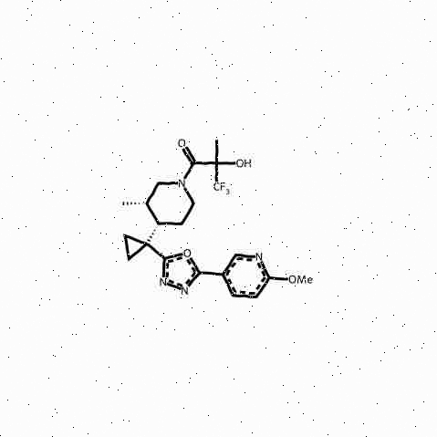 COc1ccc(-c2nnc(C3([C@H]4CCN(C(=O)C(C)(O)C(F)(F)F)C[C@H]4C)CC3)o2)cn1